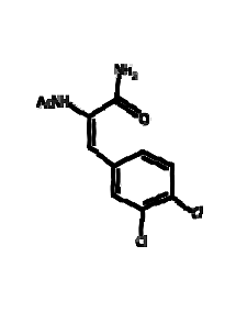 CC(=O)NC(=Cc1ccc(Cl)c(Cl)c1)C(N)=O